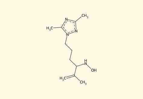 C=C(C)C(CCCn1nc(C)nc1C)NO